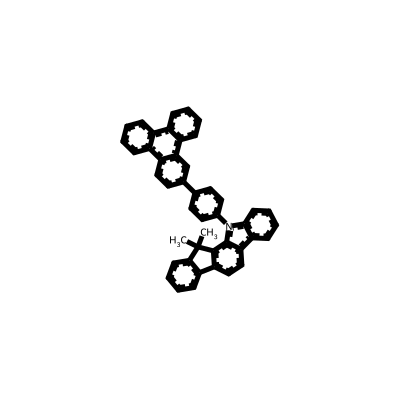 CC1(C)c2ccccc2-c2ccc3c4ccccc4n(-c4ccc(-c5ccc6c7ccccc7c7ccccc7c6c5)cc4)c3c21